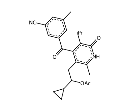 CC(=O)OC(Cc1c(C)[nH]c(=O)c(C(C)C)c1C(=O)c1cc(C)cc(C#N)c1)C1CC1